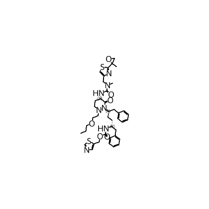 CCCOCCN1CC[C@H](NC(=O)N(C)Cc2csc(C3(C)CO3)n2)C(=O)N1[C@H](CC[C@H](Cc1ccccc1)NC(=O)OCc1cncs1)Cc1ccccc1